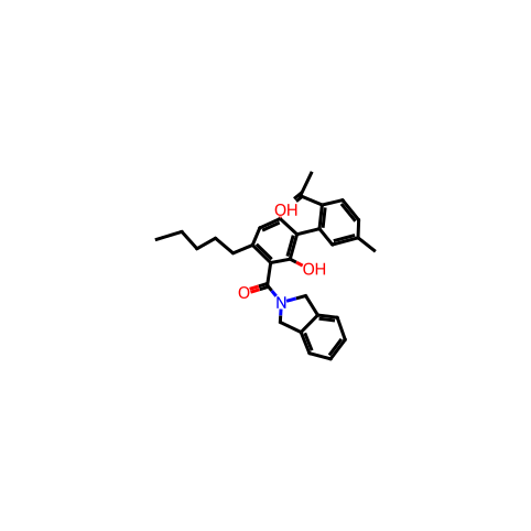 C=C(C)c1ccc(C)cc1-c1c(O)cc(CCCCC)c(C(=O)N2Cc3ccccc3C2)c1O